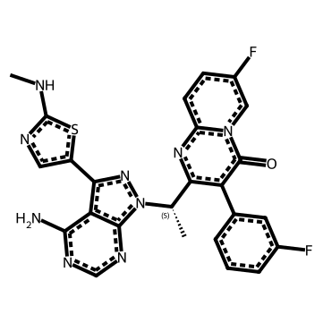 CNc1ncc(-c2nn([C@@H](C)c3nc4ccc(F)cn4c(=O)c3-c3cccc(F)c3)c3ncnc(N)c23)s1